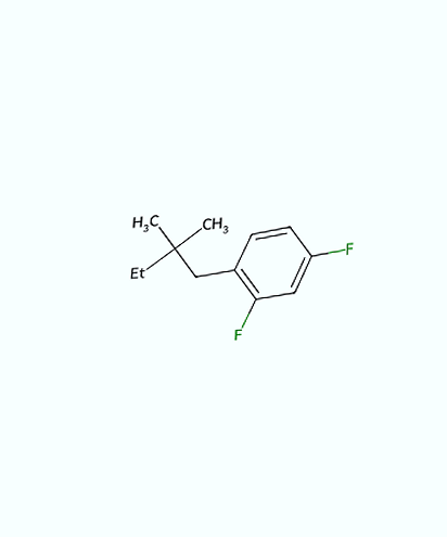 CCC(C)(C)Cc1ccc(F)cc1F